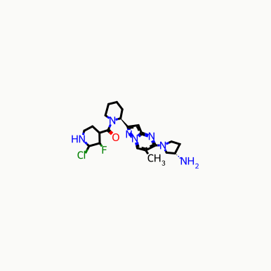 Cc1cn2nc([C@@H]3CCCCN3C(=O)C3CCNC(Cl)C3F)cc2nc1N1CC[C@H](N)C1